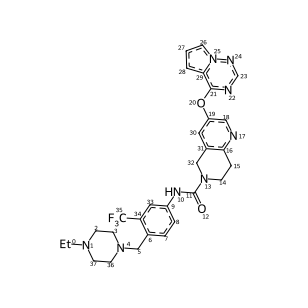 CCN1CCN(Cc2ccc(NC(=O)N3CCc4ncc(Oc5ncnn6cccc56)cc4C3)cc2C(F)(F)F)CC1